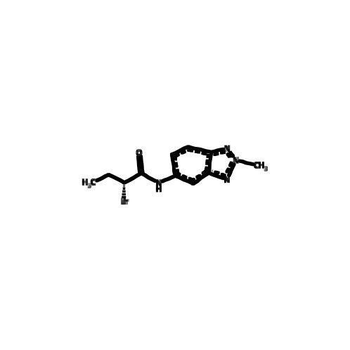 CC[C@@H](Br)C(=O)Nc1ccc2nn(C)nc2c1